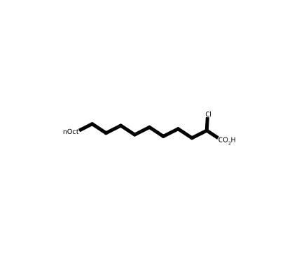 CCCCCCCCCCCCCCCCC(Cl)C(=O)O